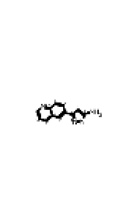 Nc1cc(-c2ccc3ncccc3c2)n[nH]1